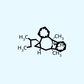 CCC(C)C[C@]12C[C@H]1C[C@]1(C)c3ccccc3[C@](C)(c3ccccc32)N1C